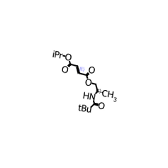 CC(C)OC(=O)/C=C/C(=O)OC[C@H](C)NC(=O)C(C)(C)C